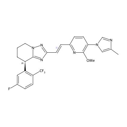 COc1nc(/C=C/c2nc3n(n2)CCC[C@@H]3c2cc(F)ccc2C(F)(F)F)ccc1-n1cnc(C)c1